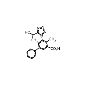 Cc1c(C(=O)O)cc(-c2ccccc2)cc1-n1nnnc1C(C)O